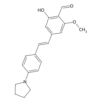 COc1cc(/C=C/c2ccc(N3CCCC3)cc2)cc(O)c1C=O